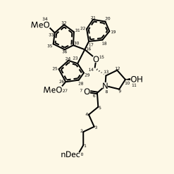 CCCCCCCCCCCCCCCC(=O)N1C[C@H](O)C[C@H]1COC(c1ccccc1)(c1ccc(OC)cc1)c1ccc(OC)cc1